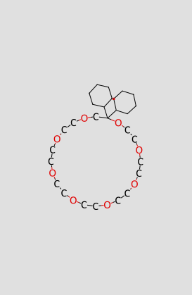 C1CCC(C2(C3CCCCC3)COCCOCCOCCOCCOCCOCCOCCO2)CC1